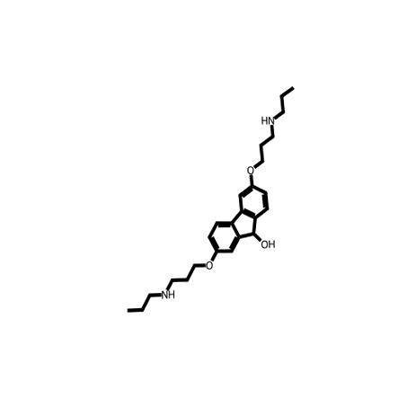 CCCNCCCOc1ccc2c(c1)-c1ccc(OCCCNCCC)cc1C2O